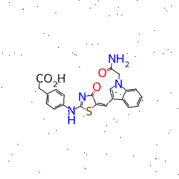 NC(=O)Cn1cc(C=C2SC(Nc3ccc(CC(=O)O)cc3)=NC2=O)c2ccccc21